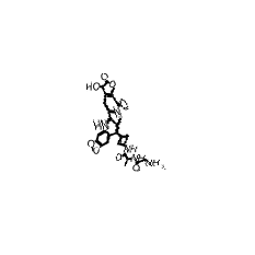 CC(NC(=O)CN)C(=O)NC12CC(C3=C4Cn5c(cc6c(c5=O)COC(=O)C6O)C4Nc4cc5c(cc43)OCO5)(C1)C2